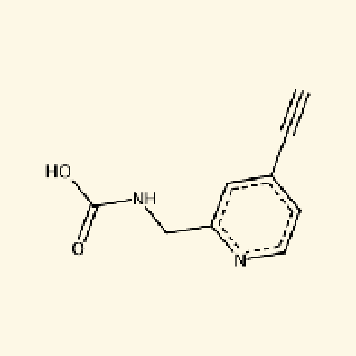 C#Cc1ccnc(CNC(=O)O)c1